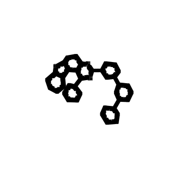 c1ccc(-c2cccc(-c3cccc(-c4nc(-c5ccccc5)c5c(ccc6sc7ccccc7c65)n4)c3)c2)cc1